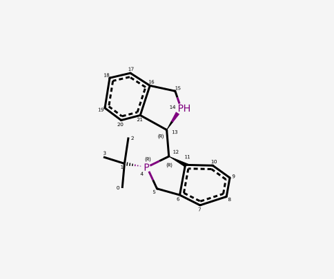 CC(C)(C)[P@@]1Cc2ccccc2[C@@H]1[C@@H]1PCc2ccccc21